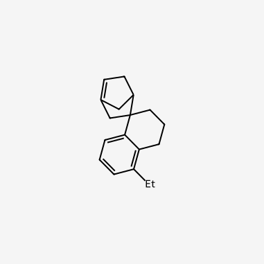 CCc1cccc2c1CCCC21CC2=CCC1C2